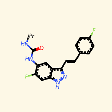 CC(C)NC(=O)Nc1cc2c(/C=C/c3ccc(F)cc3)n[nH]c2cc1F